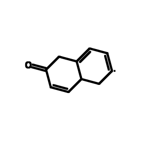 O=C1C=CC2C[C]=CC=C2C1